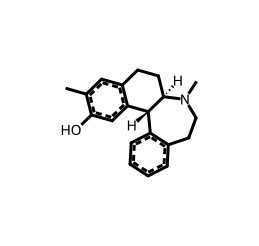 Cc1cc2c(cc1O)[C@H]1c3ccccc3CCN(C)[C@@H]1CC2